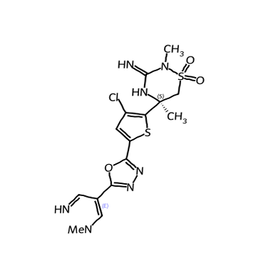 CN/C=C(\C=N)c1nnc(-c2cc(Cl)c([C@]3(C)CS(=O)(=O)N(C)C(=N)N3)s2)o1